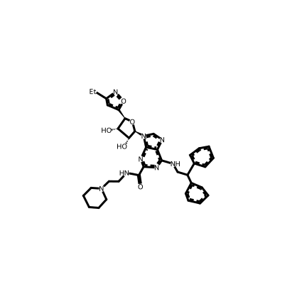 CCc1cc([C@H]2O[C@@H](n3cnc4c(NCC(c5ccccc5)c5ccccc5)nc(C(=O)NCCN5CCCCC5)nc43)[C@H](O)[C@@H]2O)on1